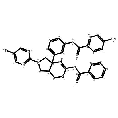 N#Cc1ccc(C(=O)Nc2cccc(C34CN(c5ncc(F)cn5)CC3CSC(NC(=O)c3ccccc3)=N4)c2)nc1